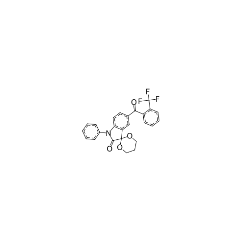 O=C(c1ccc2c(c1)C1(OCCCO1)C(=O)N2c1ccccc1)c1ccccc1C(F)(F)F